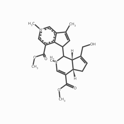 COC(=O)C1=CN(C)C(C2C=C(C)c3c[n+](C)cc(C(=O)OC)c32)[C@@H]2C(CO)=CC[C@H]12